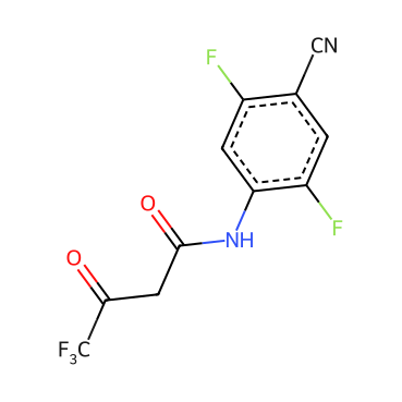 N#Cc1cc(F)c(NC(=O)CC(=O)C(F)(F)F)cc1F